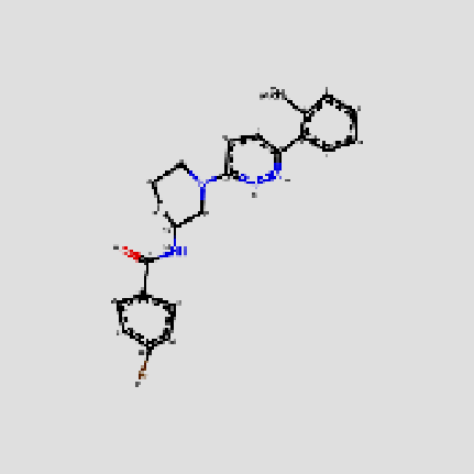 CNc1ccccc1-c1ccc(N2CCCC(NC(=O)c3ccc(Br)cc3)C2)nn1